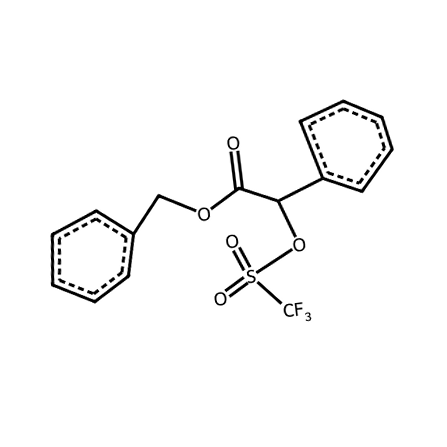 O=C(OCc1ccccc1)C(OS(=O)(=O)C(F)(F)F)c1ccccc1